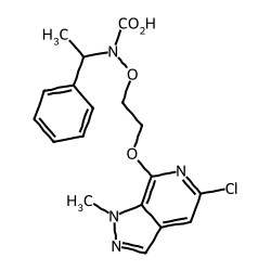 CC(c1ccccc1)N(OCCOc1nc(Cl)cc2cnn(C)c12)C(=O)O